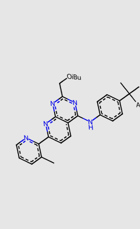 CC(=O)C(C)(C)c1ccc(Nc2nc(COCC(C)C)nc3nc(-c4ncccc4C)ccc23)cc1